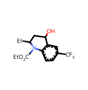 CCOC(=O)N1c2ccc(C(F)(F)F)cc2C(O)CC1CC